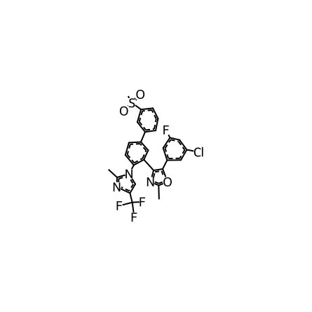 Cc1nc(-c2cc(-c3cccc(S(C)(=O)=O)c3)ccc2-n2cc(C(F)(F)F)nc2C)c(-c2cc(F)cc(Cl)c2)o1